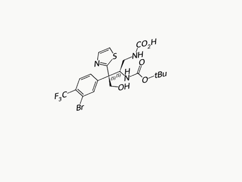 CC(C)(C)OC(=O)N[C@H](CNC(=O)O)[C@](CO)(c1ccc(C(F)(F)F)c(Br)c1)c1nccs1